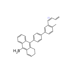 Bc1c2c(c(-c3ccc(-c4ccc(C)c(/C=C\C=C)c4)cc3)c3ccccc13)CCC=C2